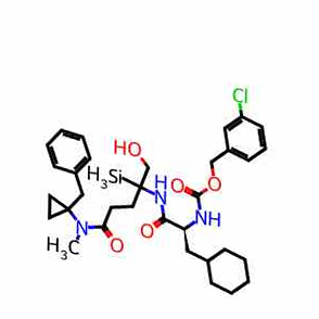 CN(C(=O)CCC([SiH3])(CO)NC(=O)[C@H](CC1CCCCC1)NC(=O)OCc1cccc(Cl)c1)C1(Cc2ccccc2)CC1